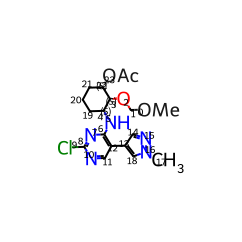 COCO[C@H]1[C@@H](Nc2nc(Cl)ncc2-c2cnn(C)c2)CCC[C@@H]1OC(C)=O